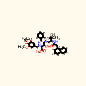 COc1cc(CN[C@@H](C(=O)O)[C@H](O)[C@H](Cc2ccccc2)NCC(NC(=O)Cc2cccc3ccccc23)C(C)(C)C)cc(OC)c1OC